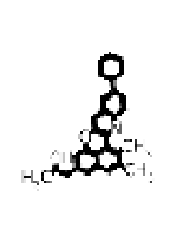 Cc1cc2cc(CC(C)C)cc3c2c(c1C)-c1nc2ccc(C4CCCCC4)cc2cc1O3